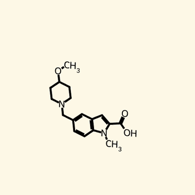 COC1CCN(Cc2ccc3c(c2)cc(C(=O)O)n3C)CC1